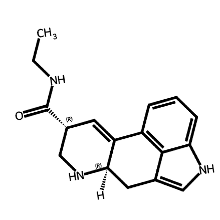 CCNC(=O)[C@@H]1C=C2c3cccc4[nH]cc(c34)C[C@H]2NC1